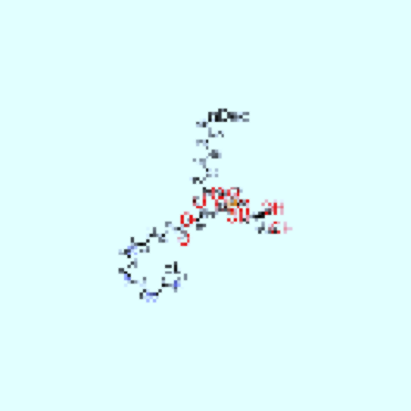 CC/C=C\C/C=C\C/C=C\C/C=C\CCCCC(=O)OC[C@H](COP(=O)(O)OC[C@@H](O)CO)OC(=O)CCCCCCCCCCCCCCCCC